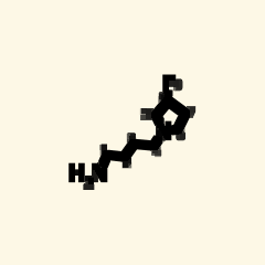 NCCCCN1CC[C@H](F)C1